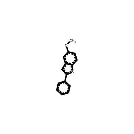 COc1ccc2sc(-c3ccccc3)cc2c1